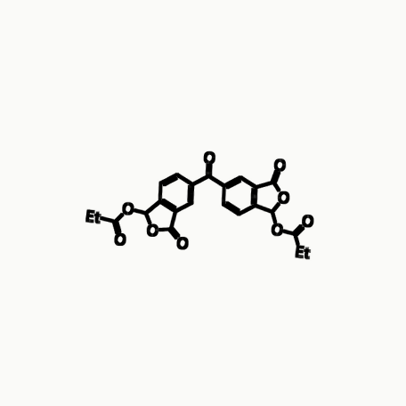 CCC(=O)OC1OC(=O)c2cc(C(=O)c3ccc4c(c3)C(=O)OC4OC(=O)CC)ccc21